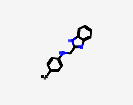 Cc1ccc(NCc2nc3ccccc3[nH]2)cc1